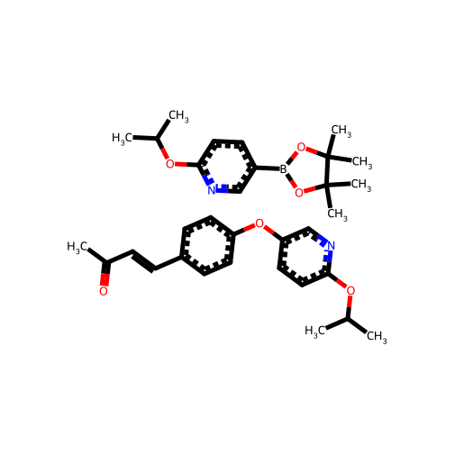 CC(=O)C=Cc1ccc(Oc2ccc(OC(C)C)nc2)cc1.CC(C)Oc1ccc(B2OC(C)(C)C(C)(C)O2)cn1